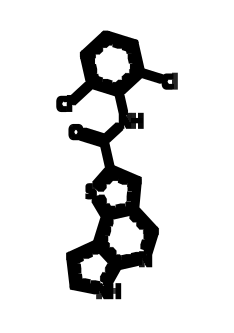 O=C(Nc1c(Cl)cccc1Cl)c1cc2cnc3[nH]ccc3c2s1